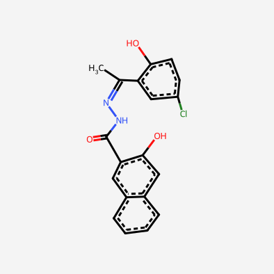 CC(=NNC(=O)c1cc2ccccc2cc1O)c1cc(Cl)ccc1O